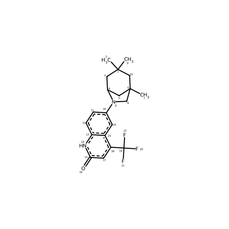 CC1(C)CC2CC(C)(CN2c2ccc3[nH]c(=O)cc(C(F)(F)F)c3c2)C1